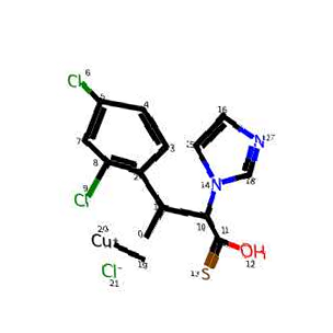 CC(c1ccc(Cl)cc1Cl)C(C(O)=S)n1ccnc1.[CH3][Cu+].[Cl-]